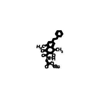 Cc1cc(CCc2ccccc2)cc2c1C(=O)C(C(=O)NCC(=O)OC(C)(C)C)=C(O)C2C